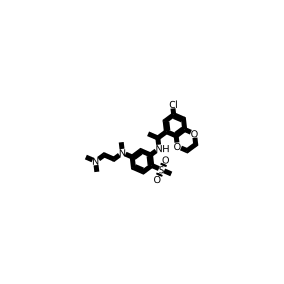 CC(Nc1cc(N(C)CCN(C)C)ccc1S(C)(=O)=O)c1cc(Cl)cc2c1OCCO2